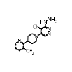 NNc1nncc(N2CCC(c3ncccc3C(F)(F)F)CC2)c1Cl